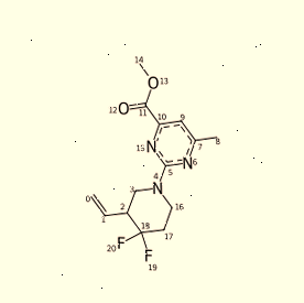 C=CC1CN(c2nc(C)cc(C(=O)OC)n2)CCC1(F)F